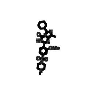 COc1cc(S(=O)(=O)N2CCN(C)CC2)ccc1-c1nc2c(C)nc(C3CCCCC3)n2c(=O)[nH]1